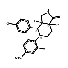 CC[C@@]12CC[C@@H](c3ccc(OC)cc3Cl)[C@H](c3ccc(Cl)cc3)[C@@H]1CNC2=O